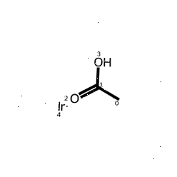 CC(=O)O.[Ir]